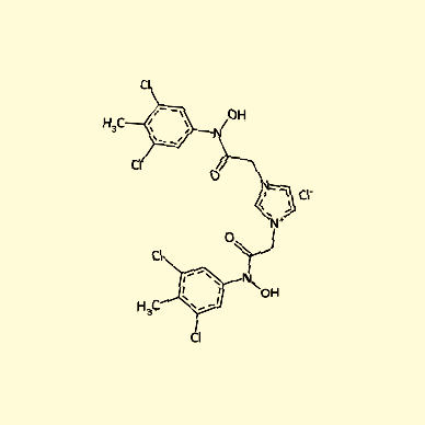 Cc1c(Cl)cc(N(O)C(=O)Cn2cc[n+](CC(=O)N(O)c3cc(Cl)c(C)c(Cl)c3)c2)cc1Cl.[Cl-]